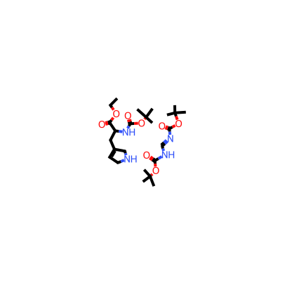 CC(C)(C)OC(=O)N=CNC(=O)OC(C)(C)C.CCOC(=O)C(CC1=CCNC1)NC(=O)OC(C)(C)C